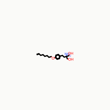 C=CCCCCCCOc1ccc(CCC(N)(CO)CO)cc1